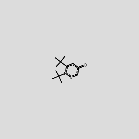 CC(C)(C)c1cc(=O)cnn1C(C)(C)C